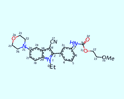 CCn1c(-c2cccc(NC(=O)OCCOC)c2)c(C#N)c2cc(N3CCOCC3)ccc21